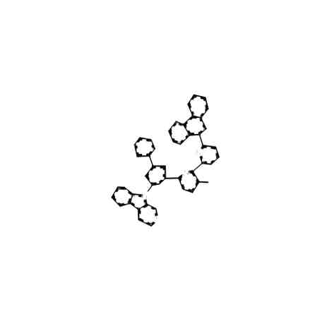 Cc1ccc(-c2cc(-c3ccccc3)cc(-n3c4ccccc4c4ccncc43)c2)nc1-c1cccc(-c2cc3ccccc3c3ccccc23)n1